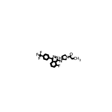 C=CC(=O)N1CC[C@H](Nc2nnc(-c3ccc(C(F)(F)F)cc3)c3cccc(F)c23)C1